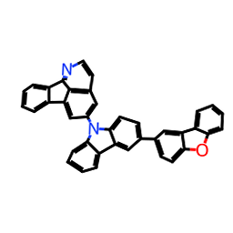 c1ccc2c(c1)-c1cc(-n3c4ccccc4c4cc(-c5ccc6oc7ccccc7c6c5)ccc43)cc3ccnc-2c13